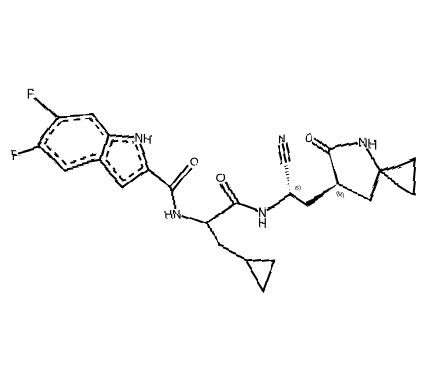 N#C[C@H](C[C@@H]1CC2(CC2)NC1=O)NC(=O)C(CC1CC1)NC(=O)c1cc2cc(F)c(F)cc2[nH]1